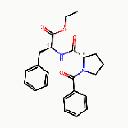 CCOC(=O)[C@H](Cc1ccccc1)NC(=O)[C@@H]1CCCN1C(=O)c1ccccc1